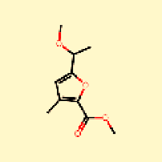 COC(=O)c1oc(C(C)OC)cc1C